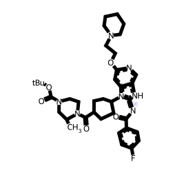 CC1CN(C(=O)OC(C)(C)C)CCN1C(=O)C1CCC(n2/c(=N\C(=O)c3ccc(F)cc3)[nH]c3cnc(OCCN4CCCCC4)cc32)CC1